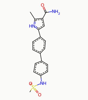 Cc1[nH]c(-c2ccc(-c3ccc(NS(C)(=O)=O)cc3)cc2)cc1C(N)=O